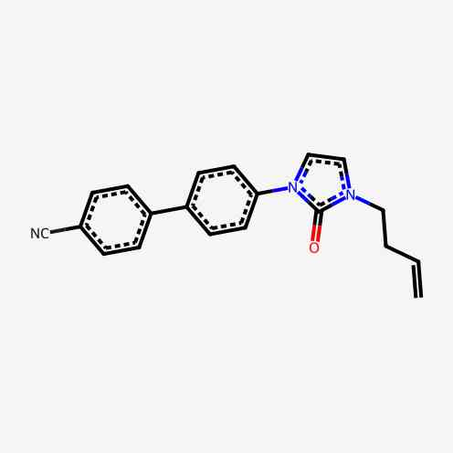 C=CCCn1ccn(-c2ccc(-c3ccc(C#N)cc3)cc2)c1=O